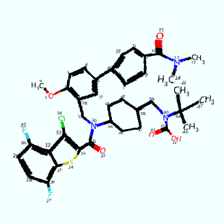 COc1ccc(-c2ccc(C(=O)N(C)C)cc2)cc1CN(C(=O)c1sc2c(F)ccc(F)c2c1Cl)C1CCC(CN(C(=O)O)C(C)(C)C)CC1